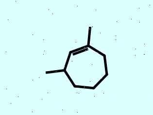 [CH2]C1=CC(C)CCCC1